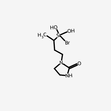 CC(CCN1CCNC1=O)[Si](O)(O)Br